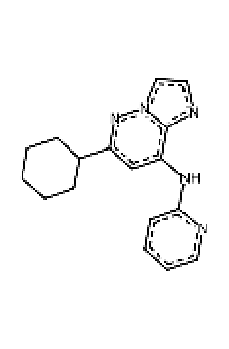 c1ccc(Nc2cc(C3CCCCC3)nn3ccnc23)nc1